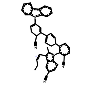 CC/C=C\c1c(C)n(-c2c(C#N)cccc2C2C=CC(C3=CC(n4c5ccccc5c5ccccc54)=CCC3C#N)=CC2)c2ccc(C#N)cc12